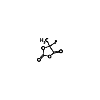 CC1(F)OC(=O)OC1=O